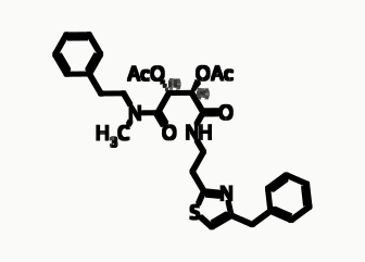 CC(=O)O[C@@H](C(=O)NCCc1nc(Cc2ccccc2)cs1)[C@@H](OC(C)=O)C(=O)N(C)CCc1ccccc1